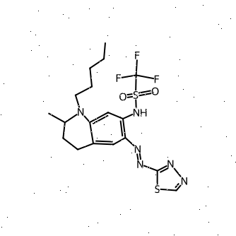 CCCCCN1c2cc(NS(=O)(=O)C(F)(F)F)c(N=Nc3nncs3)cc2CCC1C